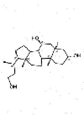 C[C@H](CCO)[C@H]1CCC2C3C(CC[C@@]21C)[C@@]1(C)CC[C@@H](O)C[C@H]1C[C@@H]3O